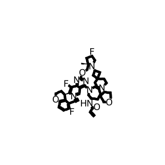 C#Cc1c(F)ccc2c1[C@H](c1ncc3c(N4CCCCC(NC(=O)C=C)C4)nc(OC[C@]4(C)C[C@@H](F)CN4C4CC5(CCN(C6CCOCC6)CC5)C4)nc3c1F)CCO2